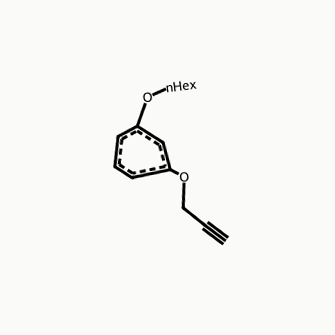 C#CCOc1cccc(OCCCCCC)c1